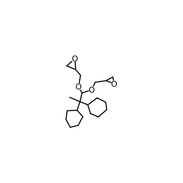 CC(C1CCCCC1)(C1CCCCC1)C(OCC1CO1)OCC1CO1